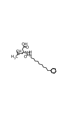 CN(C)CC(CC(=O)O)NC(=O)NCCCCCCCCCc1ccccc1